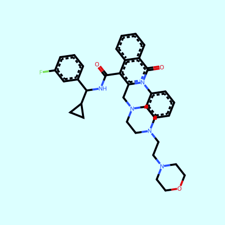 O=C(NC(c1cccc(F)c1)C1CC1)c1c(CN2CCN(CCN3CCOCC3)CC2)n(-c2ccccc2)c(=O)c2ccccc12